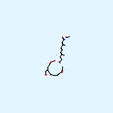 CO[C@@H](/C(C)=C/C=C/C(C)=C/c1coc(C)n1)[C@@H](C)C1C[C@H](O)[C@]2(C)O[C@@H]2/C=C/[C@@H](C)[C@H]2C[C@H](CC(=O)O2)C[C@@H]2O[C@H]2C(=O)O1